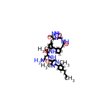 CCCCc1ccc(-c2ncc(C(=O)N[C@@H](CCN)C(=O)Nc3c(C)cc4cc3-c3cccc(c3)CC(=O)NCC(=O)NC(C(N)=O)C4)c(C)n2)c(C)c1